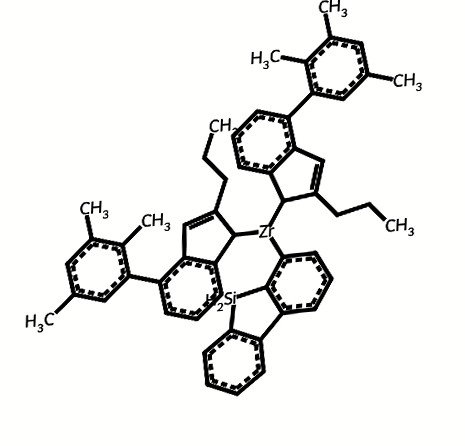 CCCC1=Cc2c(-c3cc(C)cc(C)c3C)cccc2[CH]1[Zr]([c]1cccc2c1[SiH2]c1ccccc1-2)[CH]1C(CCC)=Cc2c(-c3cc(C)cc(C)c3C)cccc21